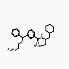 CNC[C@H](CC1CCCCC1)NC(=O)c1cccc(C(OCCNC(C)=O)c2ccccc2)c1